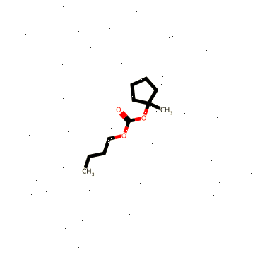 CCCCOC(=O)OC1(C)CCCC1